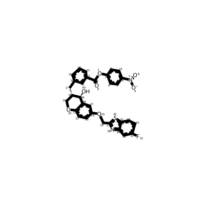 O=C(Oc1ccc([N+](=O)[O-])cc1)c1cccc(C[C@H]2COc3ccc(OCc4nc5cc(F)ccc5s4)cc3[C@H]2O)c1